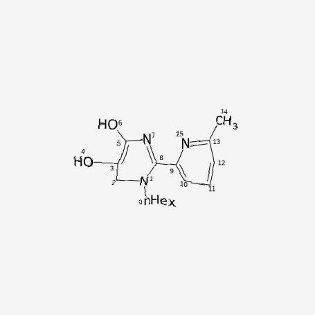 CCCCCCN1CC(O)=C(O)N=C1c1cccc(C)n1